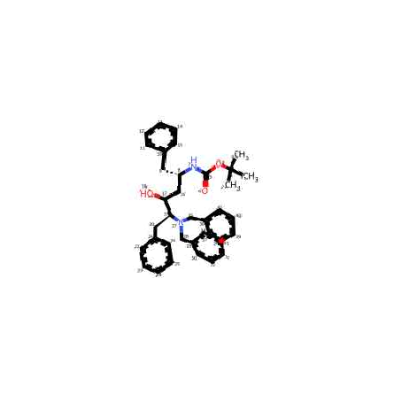 CC(C)(C)OC(=O)N[C@@H](Cc1ccccc1)CC(O)[C@H](Cc1ccccc1)N(Cc1ccccc1)Cc1ccccc1